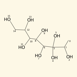 CC(O)C(O)(O)C(O)C(O)C(O)C(O)CO